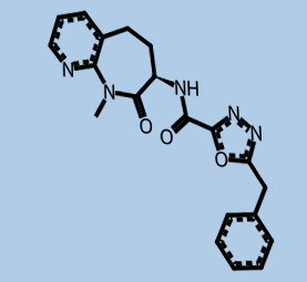 CN1C(=O)[C@H](NC(=O)c2nnc(Cc3ccccc3)o2)CCc2cccnc21